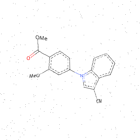 COC(=O)c1ccc(-n2cc(C#N)c3ccccc32)cc1OC